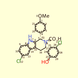 COc1ccc([C@H]2c3[nH]c4ccc(Cl)cc4c3CCN2C(=O)O)cc1.Oc1ccc(Cl)cc1